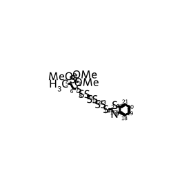 CO[Si](OC)(OC)C(C)CSSSSSSSSc1nc2ccccc2s1